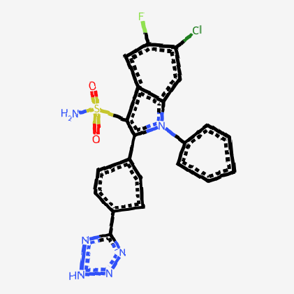 NS(=O)(=O)c1c(-c2ccc(-c3nn[nH]n3)cc2)n(-c2ccccc2)c2cc(Cl)c(F)cc12